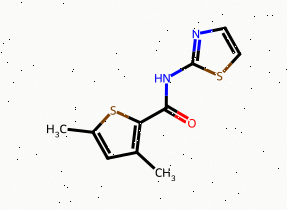 Cc1cc(C)c(C(=O)Nc2nccs2)s1